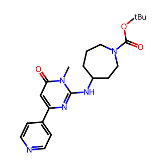 Cn1c(NC2CCCN(C(=O)OC(C)(C)C)CC2)nc(-c2ccncc2)cc1=O